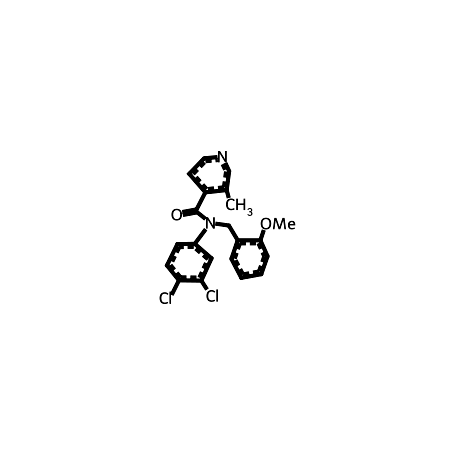 COc1ccccc1CN(C(=O)c1ccncc1C)c1ccc(Cl)c(Cl)c1